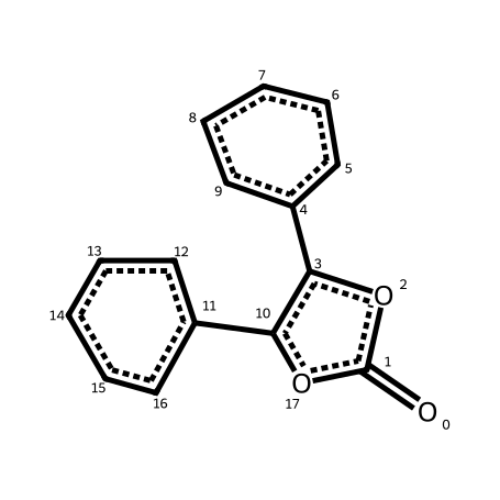 O=c1oc(-c2ccccc2)c(-c2ccccc2)o1